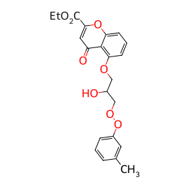 CCOC(=O)c1cc(=O)c2c(OCC(O)COOc3cccc(C)c3)cccc2o1